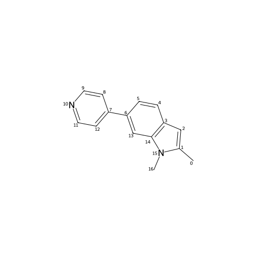 Cc1cc2ccc(-c3ccncc3)cc2n1C